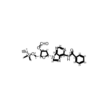 CC(C)(C)[Si](C)(C)OC[C@H]1O[C@@H](n2cnc3c(NC(=O)c4ccccc4)ncnc32)C[C@@H]1OC=O